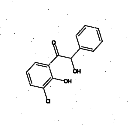 O=C(c1cccc(Cl)c1O)C(O)c1ccccc1